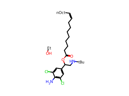 CCCCCCCC/C=C\CCCCCCCC(=O)OC(CNC(C)(C)C)c1cc(Cl)c(N)c(Cl)c1.CCO